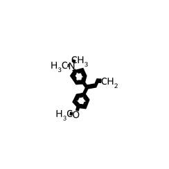 C=CC=C(c1ccc(OC)cc1)c1ccc(N(C)C)cc1